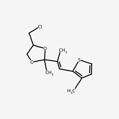 C/C(=C\c1sccc1C)C1(C)OCC(CCl)O1